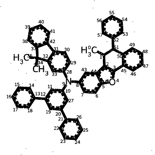 CC1c2c(oc3ccc(N(c4cc(-c5ccccc5)cc(-c5ccccc5)c4)c4ccc5c(c4)C(C)(C)c4ccccc4-5)cc23)-c2ccccc2C1c1ccccc1